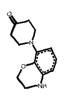 O=C1CCN(c2cccc3c2OCCN3)CC1